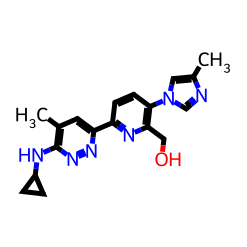 Cc1cn(-c2ccc(-c3cc(C)c(NC4CC4)nn3)nc2CO)cn1